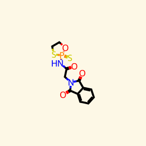 O=C(CN1C(=O)c2ccccc2C1=O)NP1(=S)OCCS1